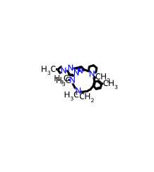 C=C1CCc2ccc(C)cc2C(=C)N2CCCCC2c2cc3nc(N4CC(C)C4)c(C)c(n3n2)N(C)CCN1C